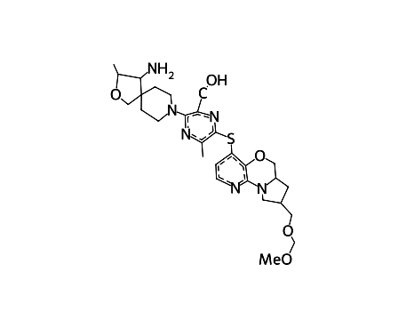 COCOCC1CC2COc3c(Sc4nc(CO)c(N5CCC6(CC5)COC(C)C6N)nc4C)ccnc3N2C1